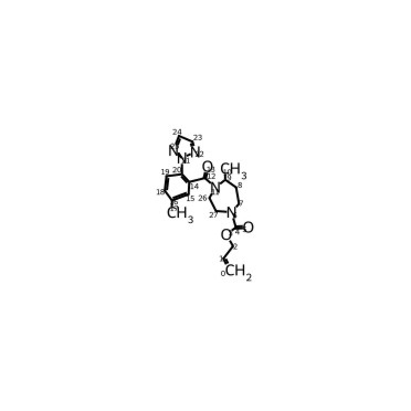 C=CCOC(=O)N1CCC(C)N(C(=O)c2cc(C)ccc2-n2nccn2)CC1